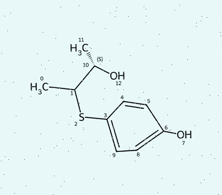 CC(Sc1ccc(O)cc1)[C@H](C)O